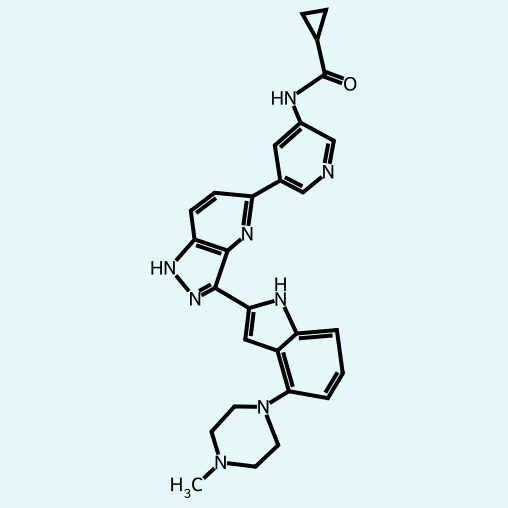 CN1CCN(c2cccc3[nH]c(-c4n[nH]c5ccc(-c6cncc(NC(=O)C7CC7)c6)nc45)cc23)CC1